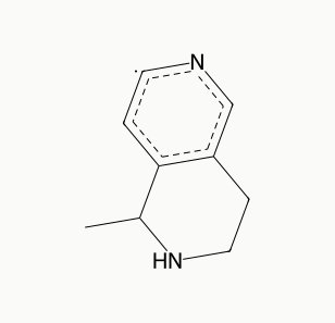 CC1NCCc2cn[c]cc21